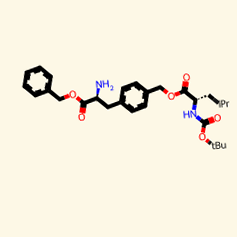 CC(C)C[C@H](NC(=O)OC(C)(C)C)C(=O)OCc1ccc(C[C@H](N)C(=O)OCc2ccccc2)cc1